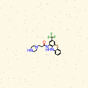 O=C(CCN1CCNCC1)Nc1cc(C(F)(F)F)cc2c1Nc1ccccc1S2